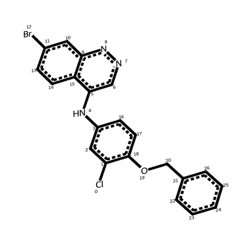 Clc1cc(Nc2cnnc3cc(Br)ccc23)ccc1OCc1ccccc1